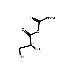 CCCCCC(=O)OC(=O)[C@@H](N)CS